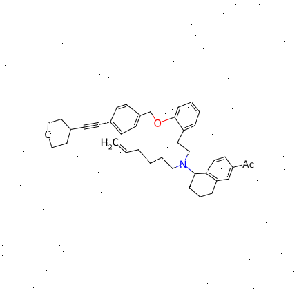 C=CCCCCN(CCc1ccccc1OCc1ccc(C#CC2CCCCC2)cc1)C1CCCc2cc(C(C)=O)ccc21